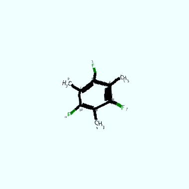 Cc1c(F)c(C)c(F)c(C)c1F